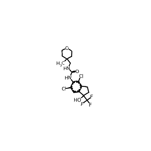 CC1(CNC(=O)Nc2c(Cl)cc3c(c2Cl)CCC3(O)C(F)(F)F)CCOCC1